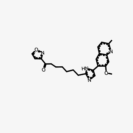 COc1cc2nc(C)ccc2cc1-c1cnc(CCCCCCC(=O)c2ccon2)[nH]1